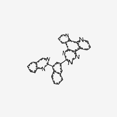 c1ccc2nc(-c3cc(-c4nnc5c6cccnc6c6ncccc6c5n4)cc4ccccc34)ncc2c1